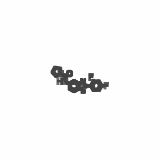 O=C(Nc1ccc2sc(-c3ccc(F)cc3F)nc2c1)N1CCCC1